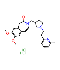 COc1cc2c(cc1OC)CC(=O)N(CC1CCN(CCc3cccc(C)n3)C1)C=C2.Cl.Cl